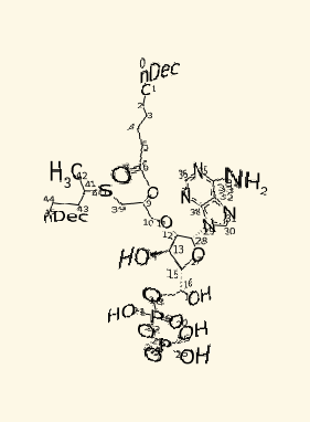 CCCCCCCCCCCCCCCC(=O)OC(CO[C@H]1[C@H](O)[C@@H](C(O)OP(=O)(O)OP(=O)(O)O)O[C@H]1n1cnc2c(N)ncnc21)CSC(C)CCCCCCCCCCCC